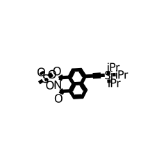 CC(C)[Si](C#Cc1ccc2c3c(cccc13)C(=O)N(OS(C)(=O)=O)C2=O)(C(C)C)C(C)C